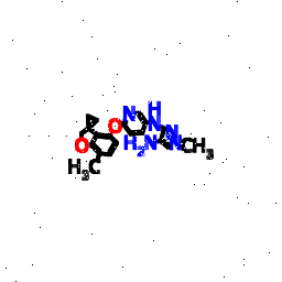 Cc1ccc(Oc2ccc(Nc3nn(C)cc3N)cn2)c2c1OCC21CC1